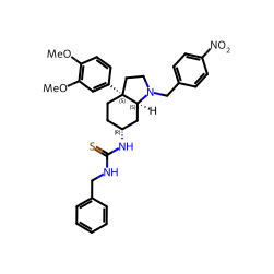 COc1ccc([C@@]23CC[C@@H](NC(=S)NCc4ccccc4)C[C@@H]2N(Cc2ccc([N+](=O)[O-])cc2)CC3)cc1OC